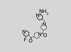 Nc1cc(CN2CCC(C(=O)N3CCC(C(=O)c4ccncc4F)CC3)CC2)ccn1